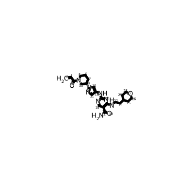 C=CC(=O)N1CCCC(n2cc(Nc3ncc(C(N)=O)c(NCCC4CCOCC4)n3)cn2)C1